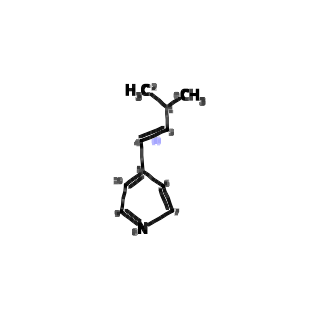 CC(C)/C=C/c1ccncc1